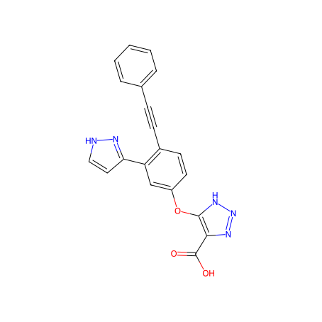 O=C(O)c1nn[nH]c1Oc1ccc(C#Cc2ccccc2)c(-c2cc[nH]n2)c1